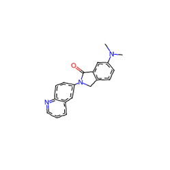 CN(C)c1ccc2c(c1)C(=O)N(c1ccc3ncccc3c1)C2